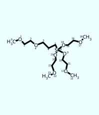 COCCOCCC[Si](OCCOC)(OCCOC)OCCOC